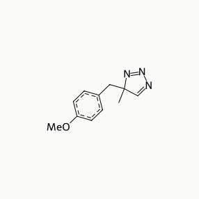 COc1ccc(CC2(C)C=NN=N2)cc1